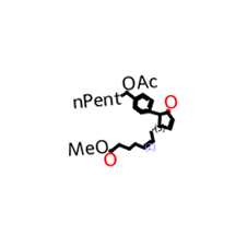 CCCCCC(OC(C)=O)c1ccc(C2C(=O)C=C[C@@H]2C/C=C\CCCC(=O)OC)cc1